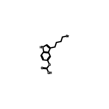 O=C(O)Oc1ccc2[nH]cc(CCCCBr)c2c1